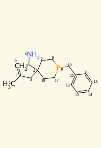 C=C(C)CC1(CN)CCP(Cc2ccccc2)CC1